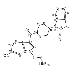 CNCCn1cc(C(=O)N2CCC(N3C(=O)Cc4ccccc43)CC2)c2ccc(Cl)cc21